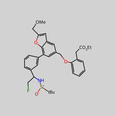 CCOC(=O)Cc1ccccc1OCc1cc(-c2cccc(C(CF)N[S+]([O-])C(C)(C)C)c2)c2oc(COC)cc2c1